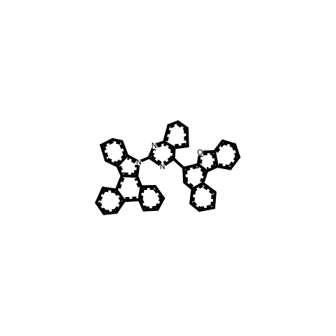 c1ccc2c(c1)cc(-c1nc(-n3c4ccccc4c4c5ccccc5c5ccccc5c43)nc3ccccc13)c1oc3ccccc3c12